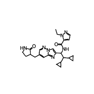 CCn1nccc1C(=O)NC(c1cn2ncc(CC3CCNC3=O)cc2n1)C(C1CC1)C1CC1